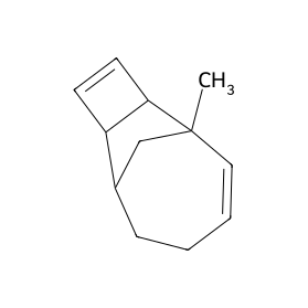 CC12C=CCCC(C1)C1C=CC12